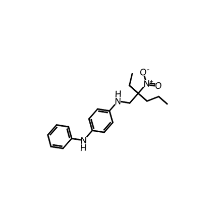 CCCC(CC)(CNc1ccc(Nc2ccccc2)cc1)[N+](=O)[O-]